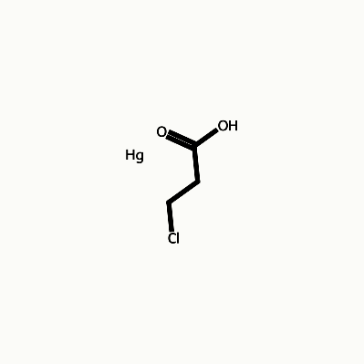 O=C(O)CCCl.[Hg]